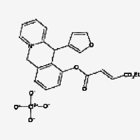 CCOC(=O)C=CC(=O)Oc1cccc2c1C(c1ccoc1)c1cccc[n+]1C2.[O-][Cl+3]([O-])([O-])[O-]